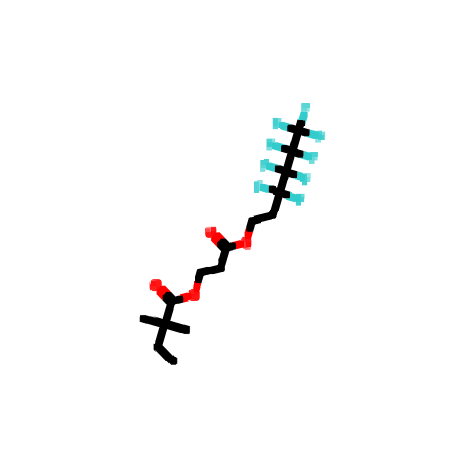 CCC(C)(C)C(=O)OCCC(=O)OCCC(F)(F)C(F)(F)C(F)(F)C(F)(F)F